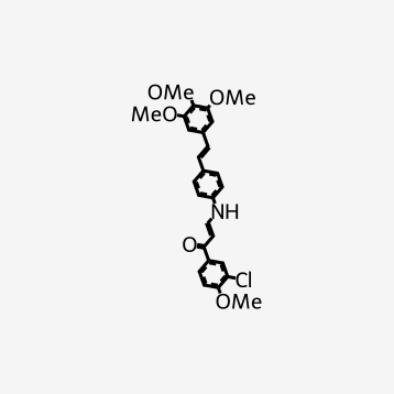 COc1ccc(C(=O)C=CNc2ccc(C=Cc3cc(OC)c(OC)c(OC)c3)cc2)cc1Cl